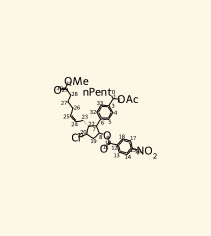 CCCCCC(OC(C)=O)c1ccc(C2C(OC(=O)c3ccc([N+](=O)[O-])cc3)CC(Cl)[C@@H]2C/C=C\CCCC(=O)OC)cc1